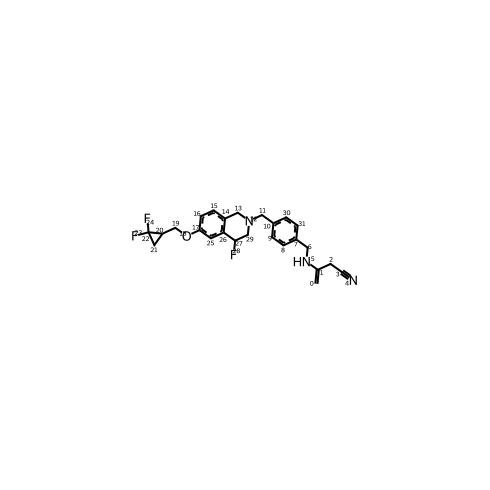 C=C(CC#N)NCc1ccc(CN2Cc3ccc(OCC4CC4(F)F)cc3C(F)C2)cc1